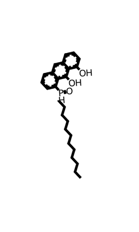 CCCCCCCCCCCC[PH](=O)c1cccc2cc3cccc(O)c3c(O)c12